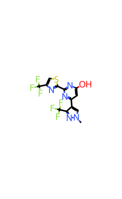 Cn1cc(-c2cc(O)nc(-c3nc(C(F)(F)F)cs3)n2)c(C(F)(F)F)n1